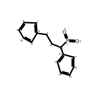 O=P(=O)C(CCc1ccccc1)c1ccccc1